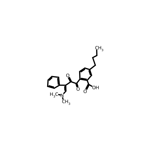 CCCCc1ccc(C(=O)C(=O)C(=CN(C)C)c2ccccc2)c(C(=O)O)c1